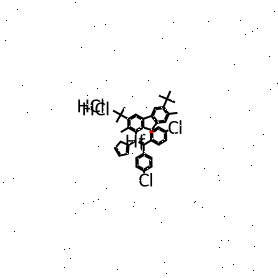 Cc1cc2c(cc1C(C)(C)C)-c1cc(C(C)(C)C)c(C)[c]([Hf]([C]3=CC=CC3)=[C](c3ccc(Cl)cc3)c3ccc(Cl)cc3)c1C2.Cl.Cl